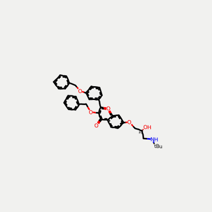 CC(C)(C)NC[C@@H](O)COc1ccc2c(=O)c(OCc3ccccc3)c(-c3cccc(OCc4ccccc4)c3)oc2c1